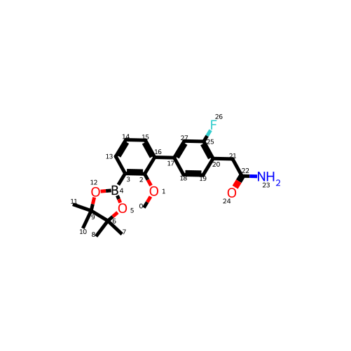 COc1c(B2OC(C)(C)C(C)(C)O2)cccc1-c1ccc(CC(N)=O)c(F)c1